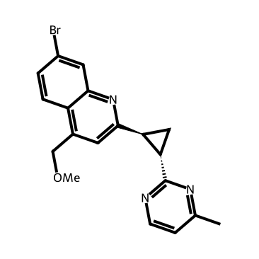 COCc1cc([C@H]2C[C@@H]2c2nccc(C)n2)nc2cc(Br)ccc12